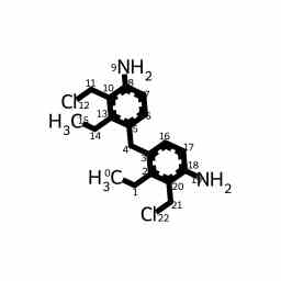 CCc1c(Cc2ccc(N)c(CCl)c2CC)ccc(N)c1CCl